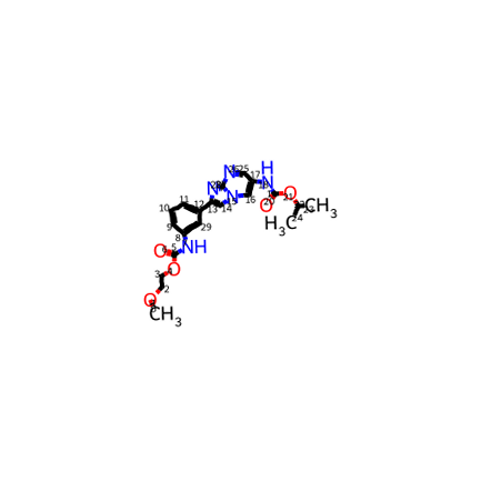 COCCOC(=O)Nc1cccc(-c2cn3cc(NC(=O)OC(C)C)cnc3n2)c1